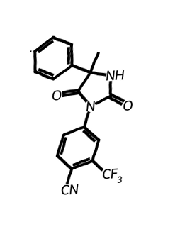 CC1(c2cc[c]cc2)NC(=O)N(c2ccc(C#N)c(C(F)(F)F)c2)C1=O